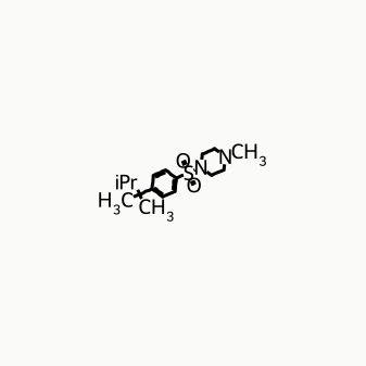 CC(C)C(C)(C)c1ccc(S(=O)(=O)N2CCN(C)CC2)cc1